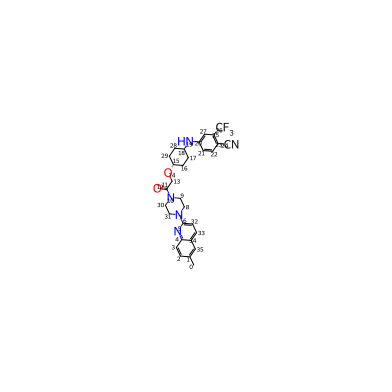 Cc1ccc2nc(N3CCN(C(=O)CO[C@H]4CC[C@H](Nc5ccc(C#N)c(C(F)(F)F)c5)CC4)CC3)ccc2c1